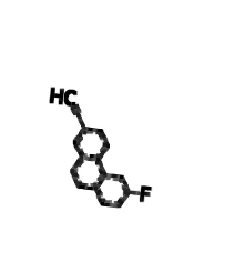 C#Cc1ccc2c(ccc3ccc(F)cc32)c1